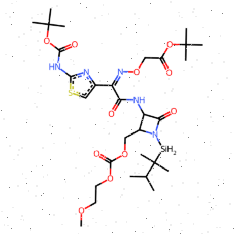 COCCOC(=O)OCC1C(NC(=O)/C(=N\OCC(=O)OC(C)(C)C)c2csc(NC(=O)OC(C)(C)C)n2)C(=O)N1[SiH2]C(C)(C)C(C)C